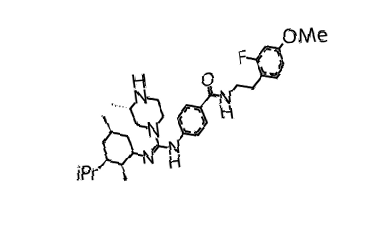 COc1ccc(CCNC(=O)c2ccc(N/C(=N/C3C[C@H](C)C[C@H](C(C)C)[C@@H]3C)N3CCN[C@@H](C)C3)cc2)c(F)c1